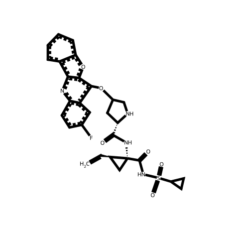 C=C[C@@H]1C[C@]1(NC(=O)[C@@H]1CC(Oc2c3cc(F)ccc3nc3c2oc2ccccc23)CN1)C(=O)NS(=O)(=O)C1CC1